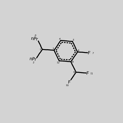 CCCC(CCC)c1ccc(F)c(C(F)F)c1